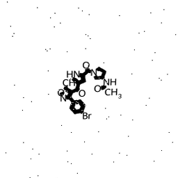 CC(=O)NC1CCN(C(=O)c2cc(C(=O)c3c(-c4ccc(Br)cc4)noc3C)c[nH]2)C1